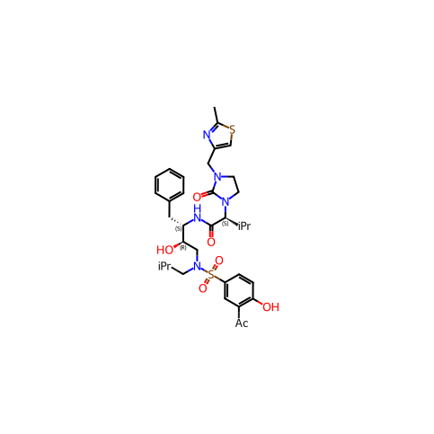 CC(=O)c1cc(S(=O)(=O)N(CC(C)C)C[C@@H](O)[C@H](Cc2ccccc2)NC(=O)[C@H](C(C)C)N2CCN(Cc3csc(C)n3)C2=O)ccc1O